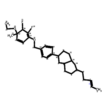 C/C=C/CCC1CCC2CC(c3ccc(COC4=C(F)C(F)C(C)(OCC)C=C4)cc3)CCC2C1